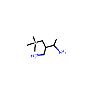 CC(N)C(CN)C[Si](C)(C)C